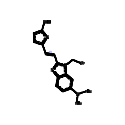 CCCCN(CCCC)c1ccc2nc(/C=C/c3ccc(C=O)s3)n(CC(C)C)c2c1